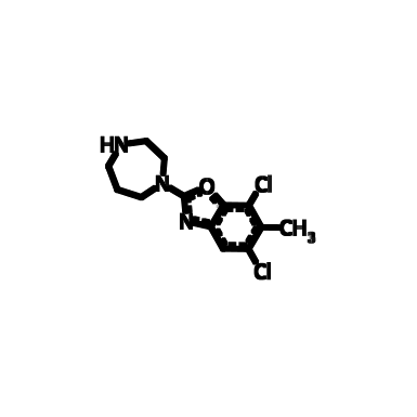 Cc1c(Cl)cc2nc(N3CCCNCC3)oc2c1Cl